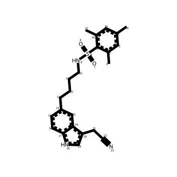 Cc1cc(C)c(S(=O)(=O)NCCCCc2ccc3[nH]cc(CC#N)c3c2)c(C)c1